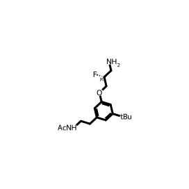 CC(=O)NCCc1cc(OC[C@H](F)CN)cc(C(C)(C)C)c1